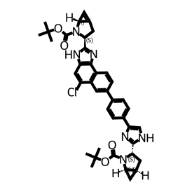 CC(C)(C)OC(=O)N1[C@@H]2C=C2C[C@H]1c1nc2c(cc(Cl)c3cc(-c4ccc(-c5c[nH]c([C@@H]6C[C@H]7C[C@H]7N6C(=O)OC(C)(C)C)n5)cc4)ccc32)[nH]1